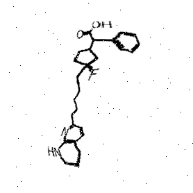 O=C(O)C(c1ccccc1)C1CCC(F)(CCCCCc2ccc3c(n2)NCCC3)C1